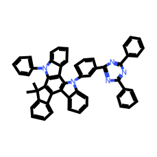 CC1(C)c2ccccc2-c2c1c1c(c3ccccc3n1-c1ccccc1)c1c2c2ccccc2n1-c1cccc(-c2nc(-c3ccccc3)nc(-c3ccccc3)n2)c1